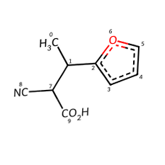 CC(c1ccco1)C(C#N)C(=O)O